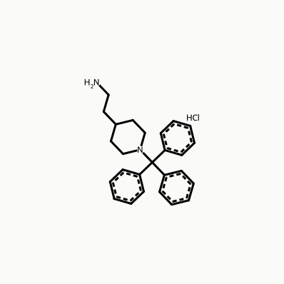 Cl.NCCC1CCN(C(c2ccccc2)(c2ccccc2)c2ccccc2)CC1